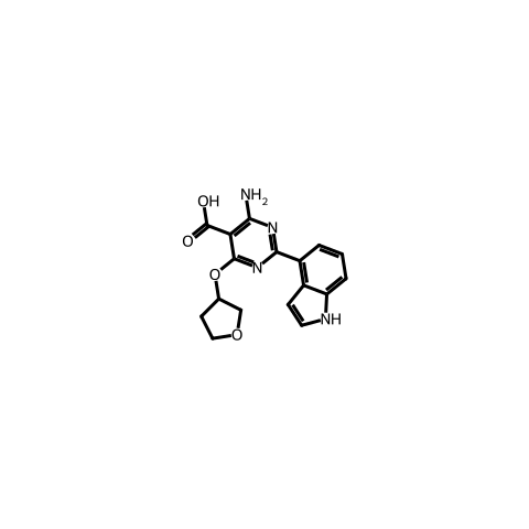 Nc1nc(-c2cccc3[nH]ccc23)nc(OC2CCOC2)c1C(=O)O